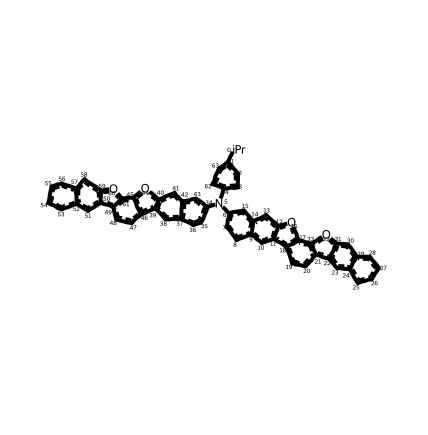 CC(C)c1ccc(N(c2ccc3cc4c(cc3c2)oc2c4ccc3c4cc5ccccc5cc4oc32)c2ccc3cc4c(cc3c2)oc2c4ccc3c4cc5ccccc5cc4oc32)cc1